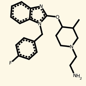 CC1CN(CCN)CCC1Oc1nc2ccccc2n1Cc1ccc(F)cc1